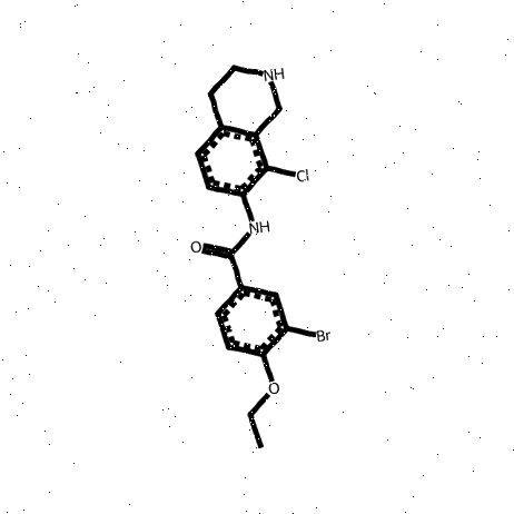 CCOc1ccc(C(=O)Nc2ccc3c(c2Cl)CNCC3)cc1Br